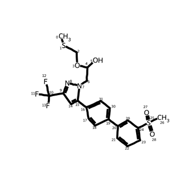 CSCOC(O)Cn1nc(C(F)(F)F)cc1-c1ccc(-c2cccc(S(C)(=O)=O)c2)cc1